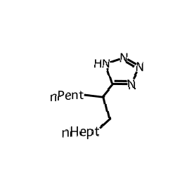 [CH2]CCCCC(CCCCCCCC)c1nnn[nH]1